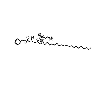 CCCCCCCCCCCCCCCCCCCCOCC(CNCC(=O)OCc1ccccc1)OP(=O)([O-])OCC[N+](C)(C)C